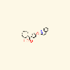 O=C(O)C(c1ccc(OCc2ccc3ccccc3n2)cc1)C1CCCCCCCC1